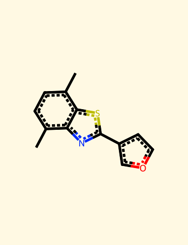 Cc1ccc(C)c2sc(-c3ccoc3)nc12